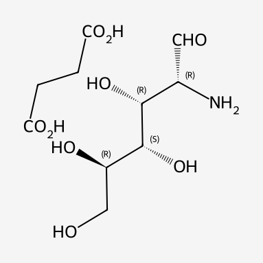 N[C@@H](C=O)[C@@H](O)[C@H](O)[C@H](O)CO.O=C(O)CCC(=O)O